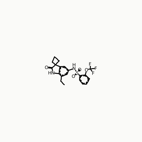 CCc1cc(NS(=O)(=O)c2ccccc2OC(F)(F)F)cc2c1NC(=O)C21CCC1